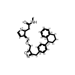 CNC(=O)CC1SC=CC1=NOCC1ON=C1Cc1ccc(C2CCCc3ccccc32)cc1